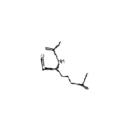 C=C(C)CCCC(C=O)NC(=C)C